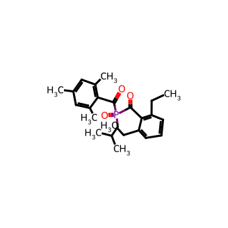 CCc1cccc(CC)c1C(=O)P(=O)(CC(C)C)C(=O)c1c(C)cc(C)cc1C